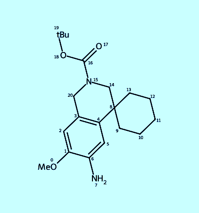 COc1cc2c(cc1N)C1(CCCCC1)CN(C(=O)OC(C)(C)C)C2